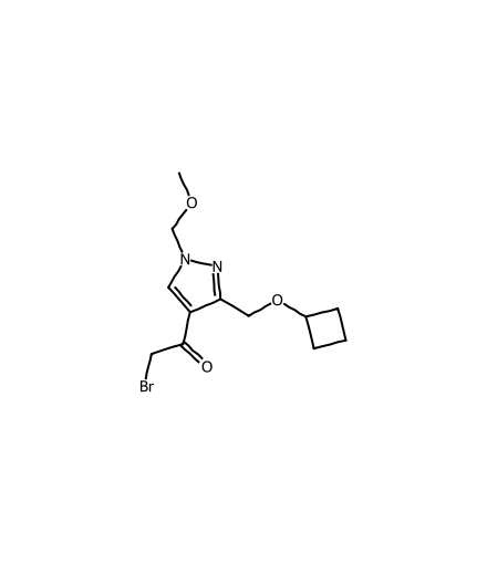 COCn1cc(C(=O)CBr)c(COC2CCC2)n1